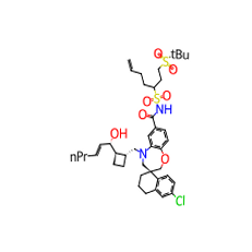 C=CCCC(CCS(=O)(=O)C(C)(C)C)S(=O)(=O)NC(=O)c1ccc2c(c1)N(C[C@@H]1CC[C@H]1[C@@H](O)/C=C/CCC)C[C@@]1(CCCc3cc(Cl)ccc31)CO2